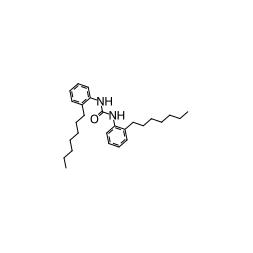 CCCCCCCc1ccccc1NC(=O)Nc1ccccc1CCCCCCC